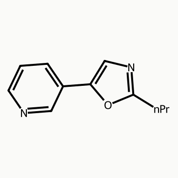 CCCc1ncc(-c2cccnc2)o1